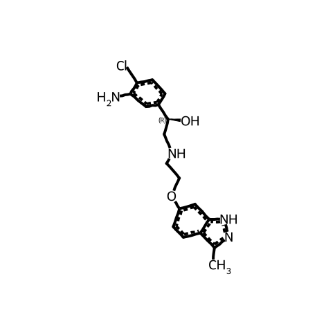 Cc1n[nH]c2cc(OCCNC[C@H](O)c3ccc(Cl)c(N)c3)ccc12